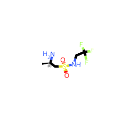 C[C@@H](N)CS(=O)(=O)NCC(F)(F)F